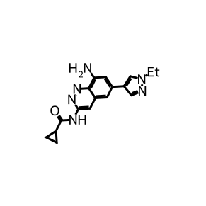 CCn1cc(-c2cc(N)c3nnc(NC(=O)C4CC4)cc3c2)cn1